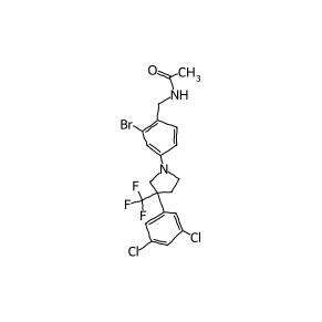 CC(=O)NCc1ccc(N2CCC(c3cc(Cl)cc(Cl)c3)(C(F)(F)F)C2)cc1Br